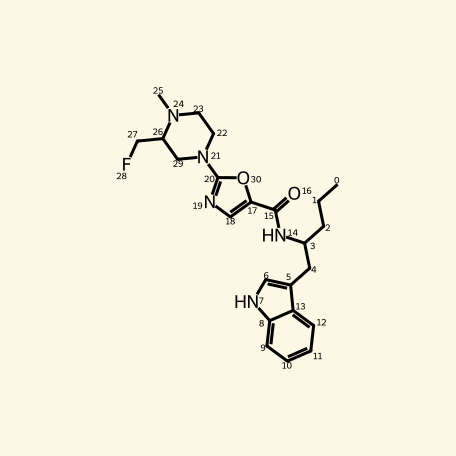 CCCC(Cc1c[nH]c2ccccc12)NC(=O)c1cnc(N2CCN(C)C(CF)C2)o1